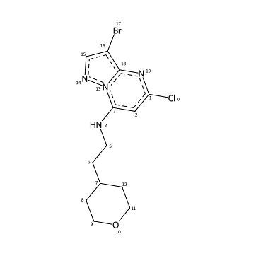 Clc1cc(NCCC2CCOCC2)n2ncc(Br)c2n1